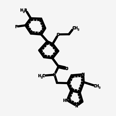 Bc1ccc(-c2ccc(C(=O)N(C)Cc3cnc(C)c4cn[nH]c34)cc2OCC)cc1F